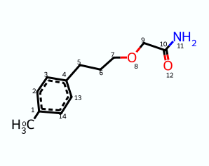 Cc1ccc(CCCOCC(N)=O)cc1